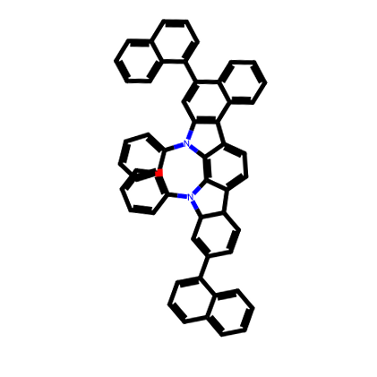 C1=CC2c3ccc4c5c6ccccc6c(-c6cccc7ccccc67)cc5n(-c5ccccc5)c4c3N(c3ccccc3)C2C=C1c1cccc2ccccc12